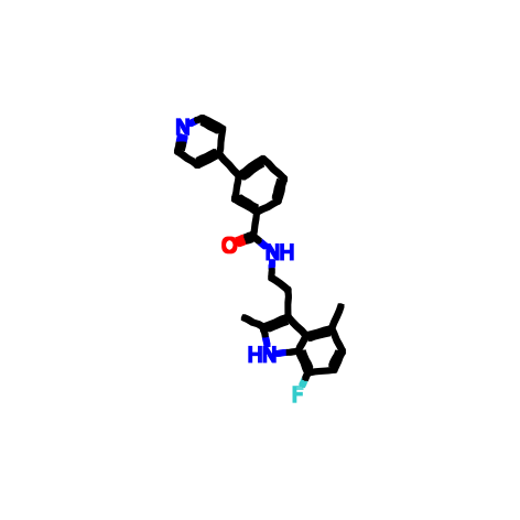 Cc1[nH]c2c(F)ccc(C)c2c1CCNC(=O)c1cccc(-c2ccncc2)c1